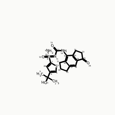 CC(C)(O)c1csc([S@@](N)(=O)=NC(=O)Nc2c3c(cc4c2CCC4=O)CCC3)c1